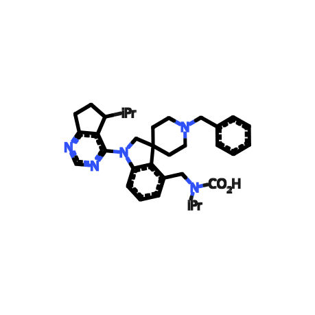 CC(C)C1CCc2ncnc(N3CC4(CCN(Cc5ccccc5)CC4)c4c(CN(C(=O)O)C(C)C)cccc43)c21